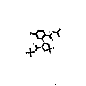 CC(C)NC(=O)c1ccc(F)cc1[C@H]1CC(F)(F)CN1C(=O)OC(C)(C)C